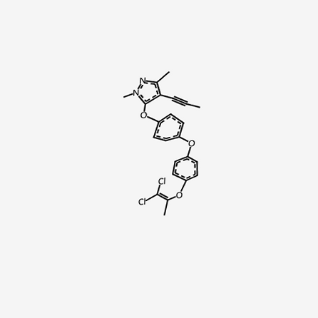 CC#Cc1c(C)nn(C)c1Oc1ccc(Oc2ccc(OC(C)=C(Cl)Cl)cc2)cc1